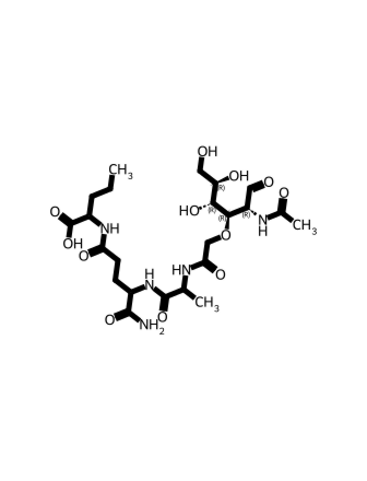 CCCC(NC(=O)CCC(NC(=O)C(C)NC(=O)CO[C@@H]([C@H](O)[C@H](O)CO)[C@H](C=O)NC(C)=O)C(N)=O)C(=O)O